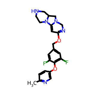 Cc1ccc(Oc2c(F)cc(COC3=NCN4CC5CNCCN5C4=C3)cc2F)cn1